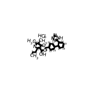 CCCc1nc(C)c(C)c(OCc2ccc(-c3ccccc3-c3nnn[nH]3)cc2)c1C(=O)O.Cl